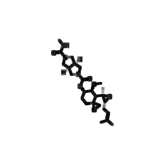 CNC(=O)N1C[C@@H]2CN(C(=O)O[C@@H]3CC[C@]4(CO4)C([C@@]4(C)O[C@@H]4CC=C(C)C)[C@@H]3OC)C[C@@H]2C1